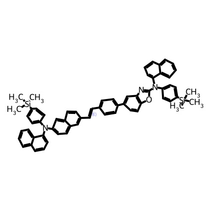 C[Si](C)(C)c1ccc(N(c2ccc3cc(/C=C/c4ccc(-c5ccc6oc(N(c7ccc([Si](C)(C)C)cc7)c7cccc8ccccc78)nc6c5)cc4)ccc3c2)c2cccc3ccccc23)cc1